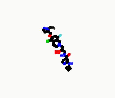 Cn1nccc1COc1cc(F)c2c(c1Cl)CCN(CC(O)CNC(=O)c1ccnc(NC3CCC3)c1)C2